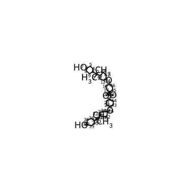 CC(C)(C1CCC(O)CC1)C1CCC(OC2CCC(S(=O)(=O)C3CCC(OC4CCC(C(C)(C)C5CCC(O)CC5)CC4)CC3)CC2)CC1